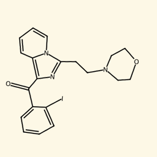 O=C(c1ccccc1I)c1nc(CCN2CCOCC2)n2ccccc12